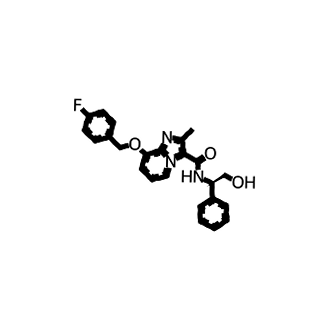 Cc1nc2c(OCc3ccc(F)cc3)cccn2c1C(=O)N[C@@H](CO)c1ccccc1